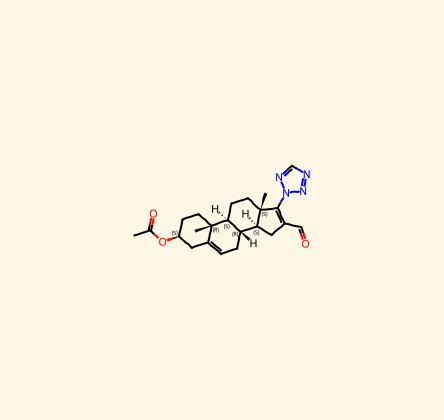 CC(=O)O[C@H]1CC[C@@]2(C)C(=CC[C@@H]3[C@@H]2CC[C@]2(C)C(n4ncnn4)=C(C=O)C[C@@H]32)C1